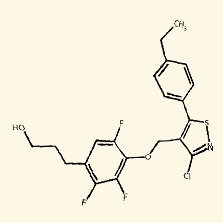 CCc1ccc(-c2snc(Cl)c2COc2c(F)cc(CCCO)c(F)c2F)cc1